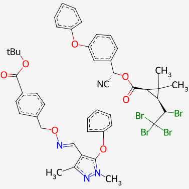 CC1(C)[C@H](C(=O)O[C@H](C#N)c2cccc(Oc3ccccc3)c2)[C@@H]1C(Br)C(Br)(Br)Br.Cc1nn(C)c(Oc2ccccc2)c1/C=N/OCc1ccc(C(=O)OC(C)(C)C)cc1